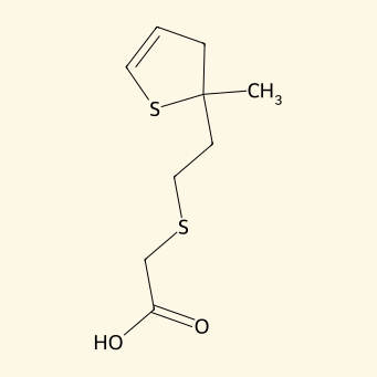 CC1(CCSCC(=O)O)CC=CS1